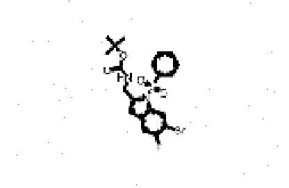 CC(C)(C)OC(=O)NCc1cc2cc(F)c(Br)cc2n1S(=O)(=O)c1ccccc1